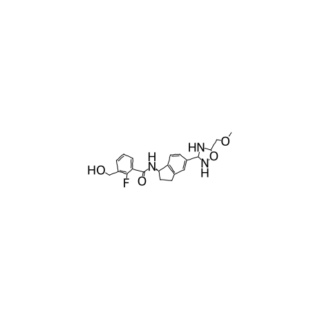 COCC1NC(c2ccc3c(c2)CC[C@H]3NC(=O)c2cccc(CO)c2F)NO1